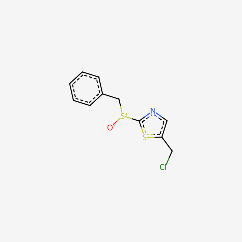 [O-][S+](Cc1ccccc1)c1ncc(CCl)s1